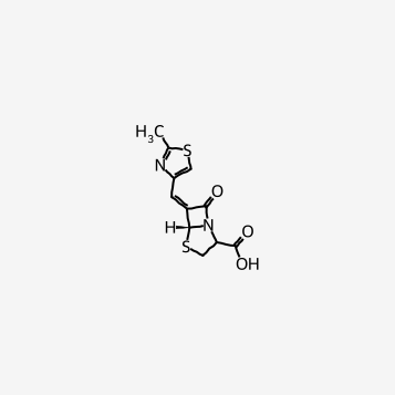 Cc1nc(C=C2C(=O)N3C(C(=O)O)CS[C@H]23)cs1